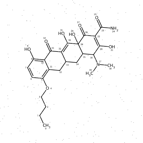 CCCCOc1ccc(O)c2c1CC1CC3C(N(C)C)C(O)=C(C(N)=O)C(=O)C3(O)C(O)=C1C2=O